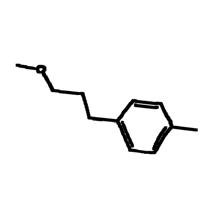 COCCCc1ccc(C)cc1